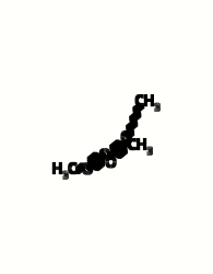 CCCCCCCCOC(C)c1ccc(C(=O)Oc2ccc(OCCC)cc2)cc1